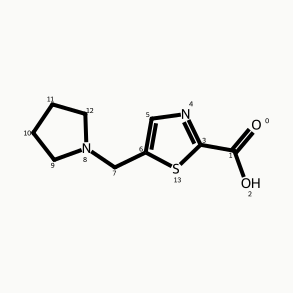 O=C(O)c1ncc(CN2CCCC2)s1